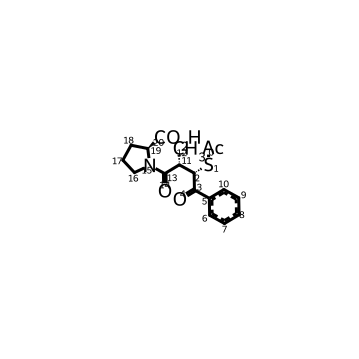 CC(=O)S[C@H](C(=O)c1ccccc1)[C@@H](C)C(=O)N1CCC[C@H]1C(=O)O